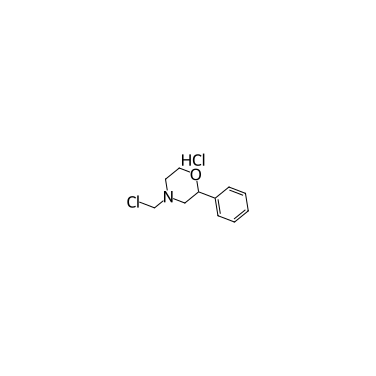 Cl.ClCN1CCOC(c2ccccc2)C1